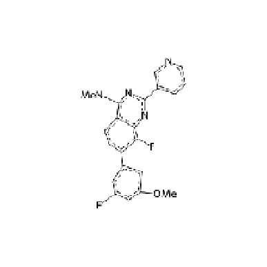 CNc1nc(-c2cccnc2)nc2c(F)c(-c3cc(F)cc(OC)c3)ccc12